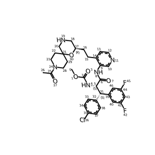 COC(=O)N[C@H](C(=O)Nc1cnccc1CC[C@@H]1CNCC2(CCN(C(C)=O)CC2)O1)[C@@H](c1ccc(Cl)cc1)c1cc(F)cc(F)c1